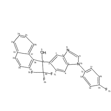 OC(c1ccc2c(c1)ncn2-c1ccc(F)cc1)(c1cccc2ccccc12)C(F)(F)F